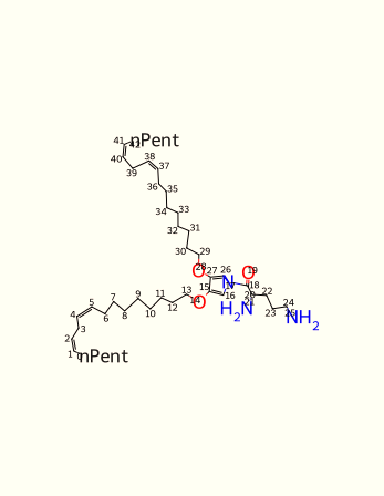 CCCCC/C=C\C/C=C\CCCCCCCCOc1cn(C(=O)[C@@H](N)CCCN)cc1OCCCCCCCC/C=C\C/C=C\CCCCC